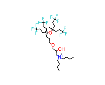 CCCC[N+](C)(CCCC)CC(O)COCCC[Si](CCC(F)(F)F)(CCC(F)(F)F)O[Si](C)(CCC(F)(F)F)CCC(F)(F)F